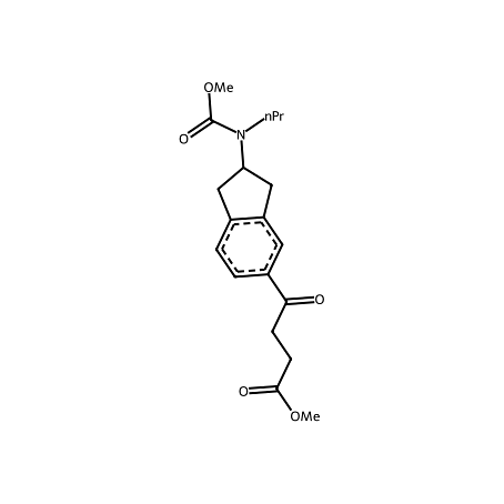 CCCN(C(=O)OC)C1Cc2ccc(C(=O)CCC(=O)OC)cc2C1